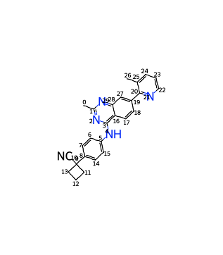 Cc1nc(Nc2ccc(C3(C#N)CCC3)cc2)c2ccc(-c3ncccc3C)cc2n1